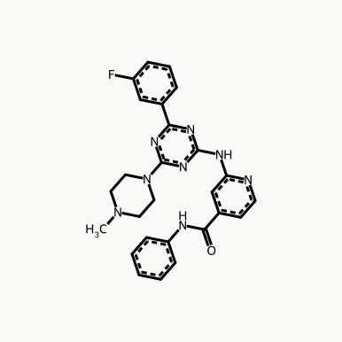 CN1CCN(c2nc(Nc3cc(C(=O)Nc4ccccc4)ccn3)nc(-c3cccc(F)c3)n2)CC1